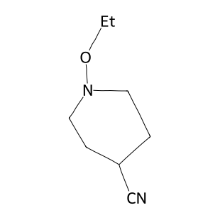 CCON1CCC(C#N)CC1